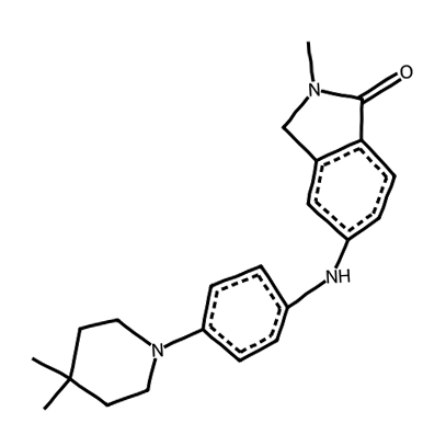 CN1Cc2cc(Nc3ccc(N4CCC(C)(C)CC4)cc3)ccc2C1=O